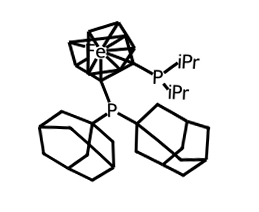 CC(C)P(C(C)C)[C]12[CH]3[CH]4[CH]5[C]1(P(C16CC7CC(CC(C7)C1)C6)C16CC7CC(CC(C7)C1)C6)[Fe]43521678[CH]2[CH]1[CH]6[CH]7[CH]28